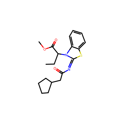 CCC(C(=O)OC)n1/c(=N\C(=O)CC2CCCC2)sc2ccccc21